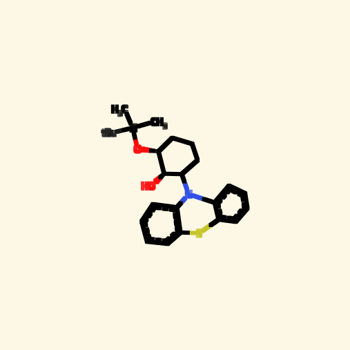 CC(C)(C)[Si](C)(C)O[C@H]1CCCC(N2c3ccccc3Sc3ccccc32)[C@H]1O